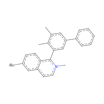 CCC(C)c1ccc2c(-c3cc(-c4ccccc4)cc(C)c3C)[n+](C)ccc2c1